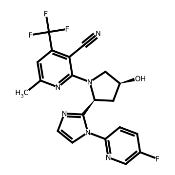 Cc1cc(C(F)(F)F)c(C#N)c(N2C[C@@H](O)C[C@H]2c2nccn2-c2ccc(F)cn2)n1